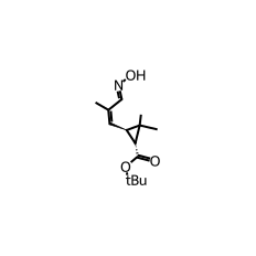 CC(=C[C@@H]1[C@@H](C(=O)OC(C)(C)C)C1(C)C)/C=N/O